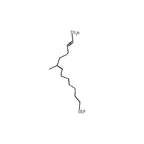 CC(CCC=CC(=O)O)CCCCCCCC(=O)O